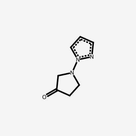 O=C1CCN(n2cccn2)C1